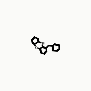 c1ccc(Cc2cccc3c2Nc2ccccc2O3)cc1